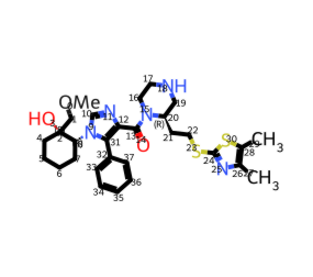 COC[C@]1(O)CCCC[C@H]1n1cnc(C(=O)N2CCNC[C@H]2CCSc2nc(C)c(C)s2)c1-c1ccccc1